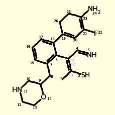 C/C(S)=C(/C=N)c1c(CC2CNCCO2)cccc1C1=CC(F)=C(N)CC1